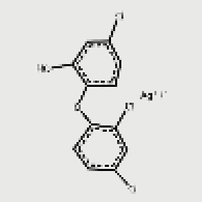 Oc1cc(Cl)ccc1Oc1ccc(Cl)cc1Cl.[Ag+].[I-]